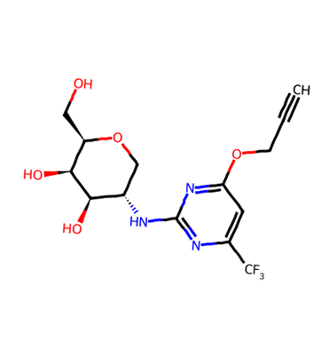 C#CCOc1cc(C(F)(F)F)nc(N[C@H]2CO[C@H](CO)[C@H](O)[C@@H]2O)n1